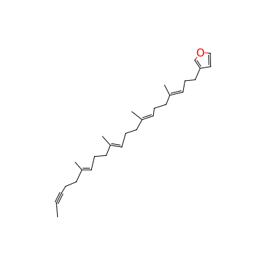 CC#CCC/C(C)=C/CC/C(C)=C/CC/C(C)=C/CC/C(C)=C/CCc1ccoc1